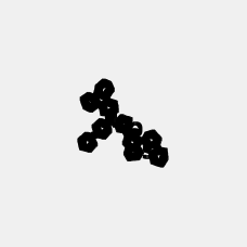 c1ccc(-c2ccc(N(c3ccc4oc5c(-c6cccc7c6sc6ccccc67)c6ccccc6cc5c4c3)c3ccc4c5ccccc5c5ccccc5c4c3)cc2)cc1